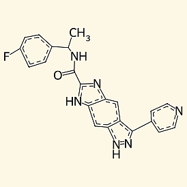 CC(NC(=O)c1nc2cc3c(-c4ccncc4)n[nH]c3cc2[nH]1)c1ccc(F)cc1